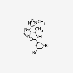 CC(NC(=O)c1cc(Br)cc(Br)c1)c1nccnc1-c1cn(C)nn1